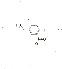 CCc1ccc(I)c([N+](=O)[O-])c1